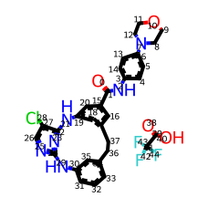 O=C(Nc1ccc(N2CCOCC2)cc1)c1cc2cc(c1)Nc1nc(ncc1Cl)Nc1cccc(c1)CC2.O=C(O)C(F)(F)F